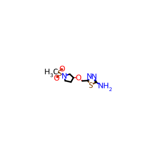 CS(=O)(=O)N1CC[C@H](OCc2nnc(N)s2)C1